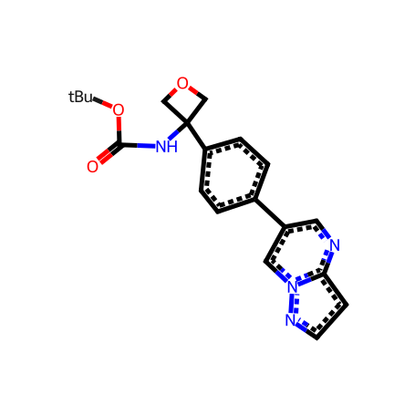 CC(C)(C)OC(=O)NC1(c2ccc(-c3cnc4ccnn4c3)cc2)COC1